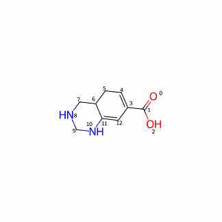 O=C(O)C1=CCC2CNCNC2=C1